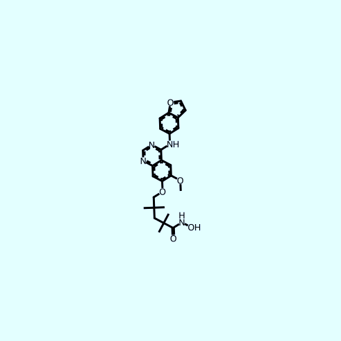 COc1cc2c(Nc3ccc4occc4c3)ncnc2cc1OCC(C)(C)CC(C)(C)C(=O)NO